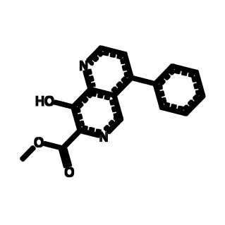 COC(=O)c1ncc2c(-c3ccccc3)ccnc2c1O